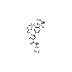 Cc1c(C(=O)NC2CCOCC2)cc(-c2ccc(S(=O)(=O)NC(C)(C)C)c(C(F)(F)F)c2)n1C1CC12CCCC2